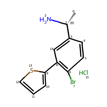 C[C@@H](N)c1ccc(Br)c(-c2cccs2)c1.Cl